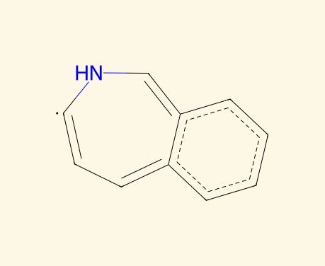 [C]1=CC=c2ccccc2=CN1